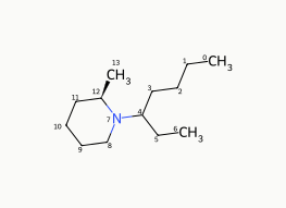 CCCCC(CC)N1CCCC[C@H]1C